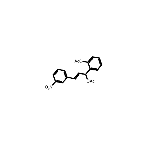 CC(=O)Oc1ccccc1C(C=Cc1cccc([N+](=O)[O-])c1)OC(C)=O